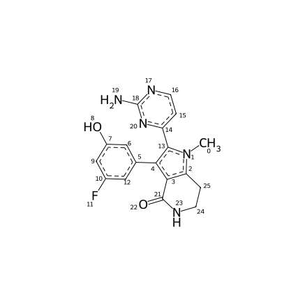 Cn1c2c(c(-c3cc(O)cc(F)c3)c1-c1ccnc(N)n1)C(=O)NCC2